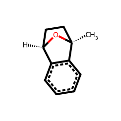 C[C@@]12CC[C@@H](O1)c1ccccc12